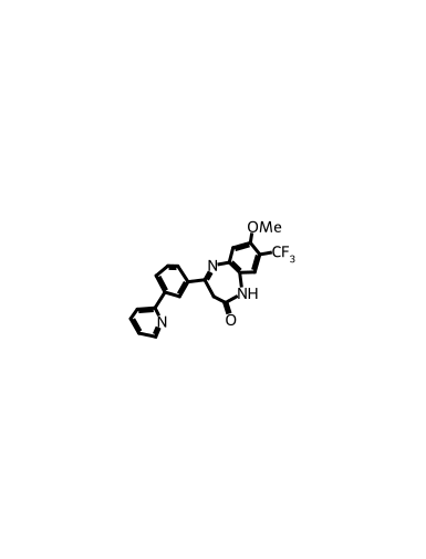 COc1cc2c(cc1C(F)(F)F)NC(=O)CC(c1cccc(-c3ccccn3)c1)=N2